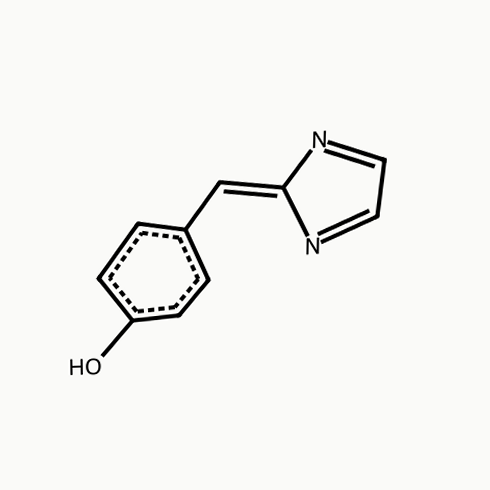 Oc1ccc(C=C2N=CC=N2)cc1